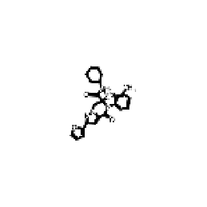 Cc1cccc(N2C(=O)c3cc(-c4ccco4)nn3CC2(C)C(=O)NC2CCCCC2)c1C